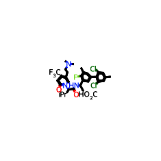 Cc1cc(Cl)c(-c2cc(C)c(F)c(C(CC(=O)O)NC(=O)C(C(C)C)n3cc(CCN(C)C)c(C(F)(F)F)cc3=O)c2)c(Cl)c1